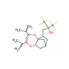 C=C(C)C(=O)OC1CC2CC(CC(O)(C(F)(F)F)C(F)(F)F)C1(OC(=O)C(=C)C)C2